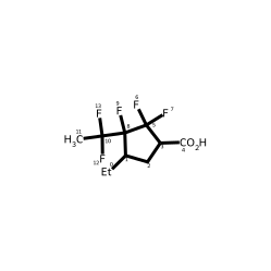 CCC1CC(C(=O)O)C(F)(F)C1(F)C(C)(F)F